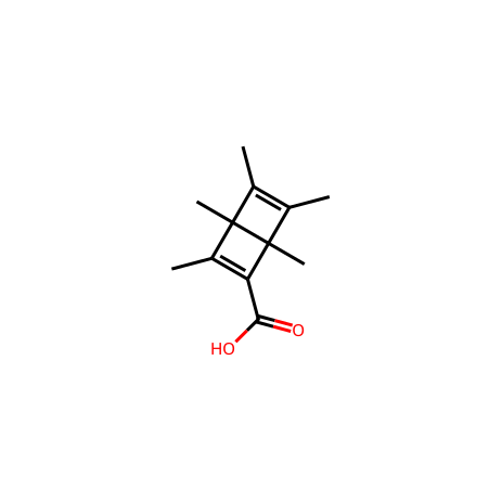 CC1=C(C)C2(C)C(C(=O)O)=C(C)C12C